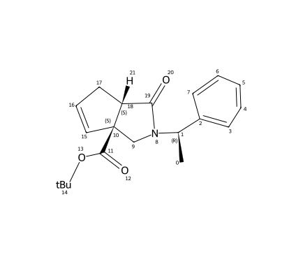 C[C@H](c1ccccc1)N1C[C@]2(C(=O)OC(C)(C)C)C=CC[C@@H]2C1=O